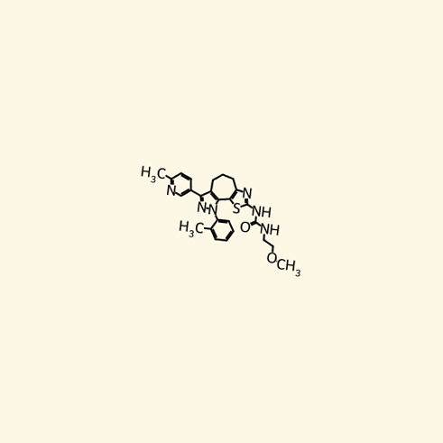 COCCNC(=O)Nc1nc2c(s1)-c1c(c(-c3ccc(C)nc3)nn1-c1ccccc1C)CCC2